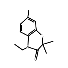 CCN1C(=O)C(C)(C)Sc2cc(I)ccc21